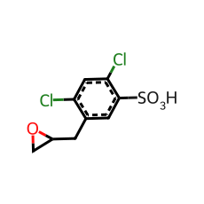 O=S(=O)(O)c1cc(CC2CO2)c(Cl)cc1Cl